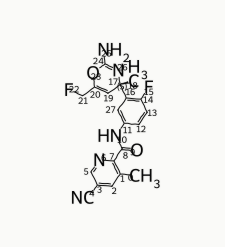 Cc1cc(C#N)cnc1C(=O)Nc1ccc(F)c([C@]2(C)C=C(CF)OC(N)=N2)c1